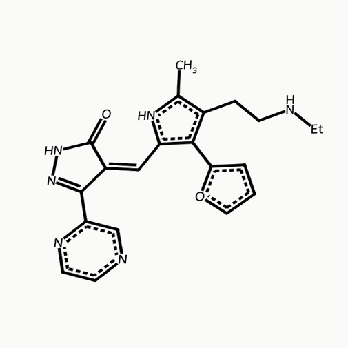 CCNCCc1c(C)[nH]c(C=C2C(=O)NN=C2c2cnccn2)c1-c1ccco1